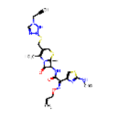 C#CCN1C=NN(SCC2=C(C(=O)O)N3C(=O)C(NC(=O)/C(=N\OCC=C)c4csc(NC=O)n4)[C@H]3SC2)N1